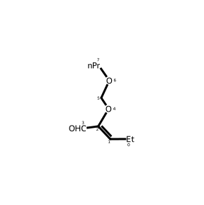 CCC=C(C=O)OCOCCC